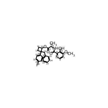 COc1ccnc(C(=O)N[C@@H](C)C(=O)OC2CCC2(Cc2ccccc2)c2ccc(F)cc2)c1O